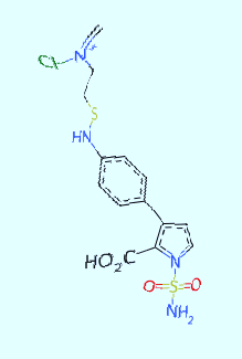 C=[N+](Cl)CCSNc1ccc(-c2ccn(S(N)(=O)=O)c2C(=O)O)cc1